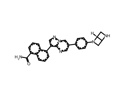 NC(=O)c1cccc2c(-c3cnn4cc(-c5ccc(N6CC7NC[C@H]76)cc5)cnc34)cccc12